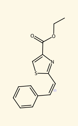 CCOC(=O)c1csc(/C=C\c2ccccc2)n1